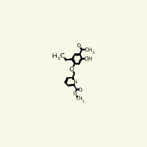 CCc1cc(C(C)=O)c(O)cc1OCc1cccc(C(=O)OC)n1